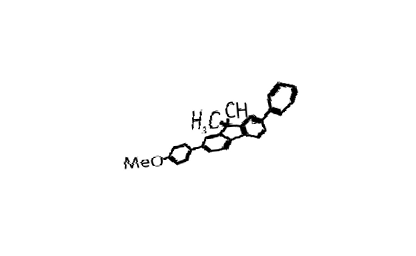 COc1ccc(-c2ccc3c(c2)C(C)(C)c2cc(-c4ccccc4)ccc2-3)cc1